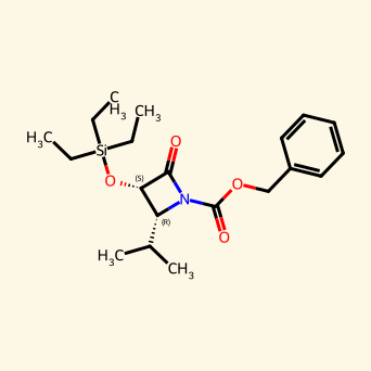 CC[Si](CC)(CC)O[C@@H]1C(=O)N(C(=O)OCc2ccccc2)[C@@H]1C(C)C